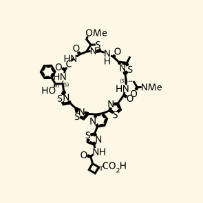 CNC(=O)C[C@@H]1NC(=O)c2csc(n2)-c2ccc(-c3nc(NC(=O)C4CC[C@H]4C(=O)O)cs3)nc2-c2csc(n2)-c2csc(n2)[C@H]([C@@H](O)c2ccccc2)NC(=O)CNC(=O)C2N=C(NC(=O)c3nc1sc3C)SC2COC